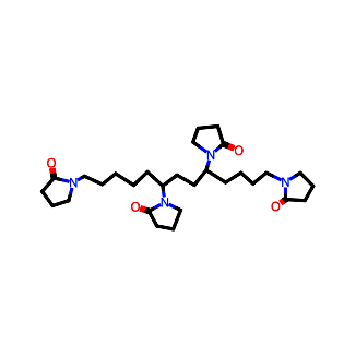 O=C1CCCN1CCCCCC(CCC(CCCCN1CCCC1=O)N1CCCC1=O)N1CCCC1=O